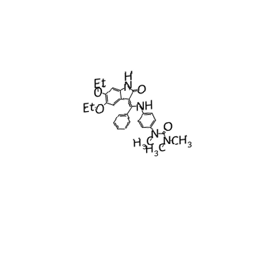 CCOc1cc2c(cc1OCC)/C(=C(/Nc1ccc(N(C)C(=O)N(C)C)cc1)c1ccccc1)C(=O)N2